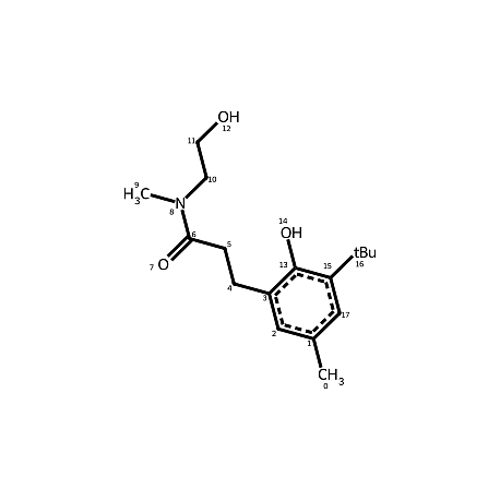 Cc1cc(CCC(=O)N(C)CCO)c(O)c(C(C)(C)C)c1